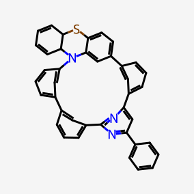 C1=CC2Sc3ccc4cc3N(c3cccc(c3)-c3cccc(c3)-c3nc(-c5ccccc5)cc(n3)-c3cccc-4c3)C2C=C1